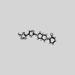 Cn1nnc(-c2cnc(N3CC4CN(c5ccccc5Cl)CC4C3)s2)n1